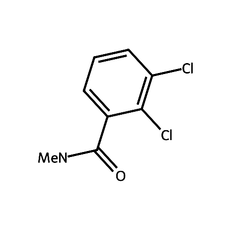 [CH2]NC(=O)c1cccc(Cl)c1Cl